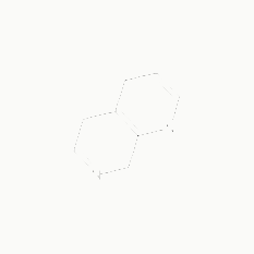 C1=C[N]C2=C(C1)CC=NC2